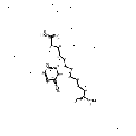 O=C(O)CCCCCCCCCCC(=O)O.O=C1C=CN=CC1